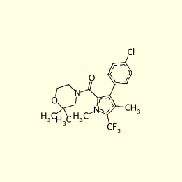 Cc1c(-c2ccc(Cl)cc2)c(C(=O)N2CCOC(C)(C)C2)n(C)c1C(F)(F)F